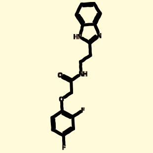 O=C(COc1ccc(F)cc1F)NCCc1nc2ccccc2[nH]1